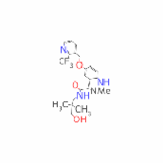 CN/C(C(=O)NCC(C)(C)CO)=C1/C=C(OCc2cccnc2C(F)(F)F)C=CC1=N